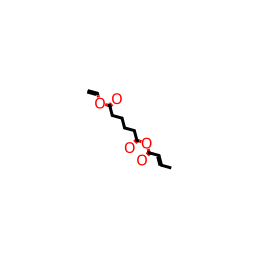 C=COC(=O)CCCCC(=O)OC(=O)/C=C/C